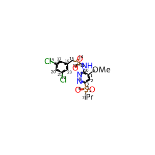 COc1cc(S(=O)(=O)C(C)C)nnc1NS(=O)(=O)Cc1cc(Cl)cc(Cl)c1